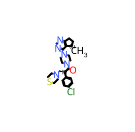 C[C@@H]1CCc2ncnc(N3CCN(C(=O)[C@H](CN4CCSCC4)c4ccc(Cl)cc4)CC3)c21